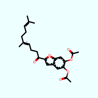 CC(=O)Oc1cc2cc(C(=O)CC/C=C(\C)CCC=C(C)C)oc2cc1OC(C)=O